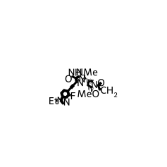 C=CC(=O)N1C[C@@H](Cn2nc(C#Cc3ccc4c(ncn4CC)c3F)c(C(N)=O)c2NC)C[C@@H]1COC